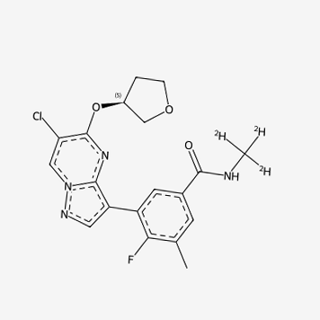 [2H]C([2H])([2H])NC(=O)c1cc(C)c(F)c(-c2cnn3cc(Cl)c(O[C@H]4CCOC4)nc23)c1